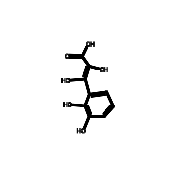 O=C(O)C(O)=C(O)c1cccc(O)c1O